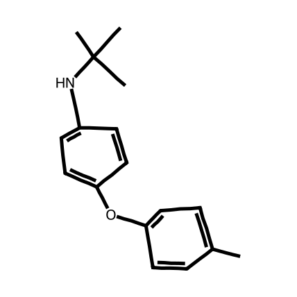 Cc1ccc(Oc2ccc(NC(C)(C)C)cc2)cc1